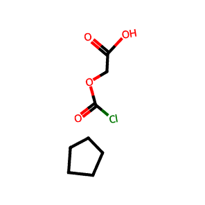 C1CCCC1.O=C(O)COC(=O)Cl